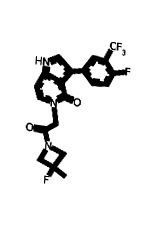 CC1(F)CN(C(=O)Cn2ccc3[nH]cc(-c4ccc(F)c(C(F)(F)F)c4)c3c2=O)C1